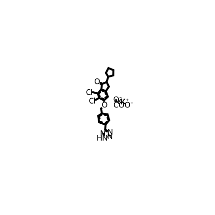 O=C([O-])[O-].O=C1c2c(cc(OCc3ccc(-c4nn[nH]n4)cc3)c(Cl)c2Cl)CC1C1CCCC1.[K+].[K+]